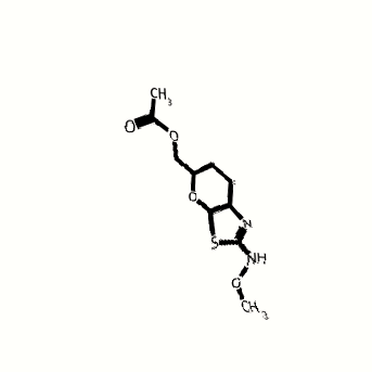 CONC1=NC2[C][C]C(COC(C)=O)OC2S1